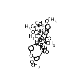 CN[C@H](C)C(=O)N[C@@H](C)C(=O)N(C)[C@@H](Cc1ccc(OC)cc1)C(=O)N[C@@H](C)C(=O)N(C)[C@H]1Cc2ccc(cc2)Oc2cc(ccc2OC)C[C@@H](C=O)NC1=O